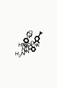 Nc1nc(Nc2ccc(N3CCOCC3)cc2)nc(-c2cccc(-n3ncc4cc(C5CC5)ccc4c3=O)c2CO)n1